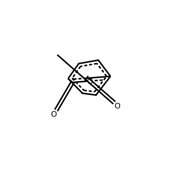 O=c1oc(=O)c2ccc1cc2